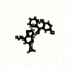 Nc1ccc(Cl)cc1C(=O)N1CCCC[C@H]1c1cc2nc(C3CC3)cc(N)n2n1